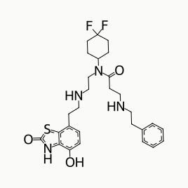 O=C(CCNCCc1ccccc1)N(CCNCCc1ccc(O)c2[nH]c(=O)sc12)C1CCC(F)(F)CC1